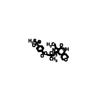 CCc1nn(CC(C)(C)COC(=O)c2ccc(S(C)(=O)=O)cc2)c2c1C(=O)NCC1(CCOCC1)C2